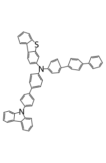 c1ccc(-c2ccc(-c3ccc(N(c4ccc(-c5ccc(-n6c7ccccc7c7ccccc76)cc5)cc4)c4ccc5c(c4)sc4ccccc45)cc3)cc2)cc1